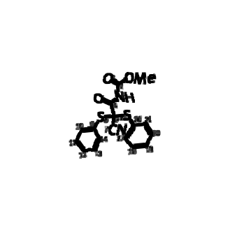 COC(=O)NC(=O)C(C#N)(Sc1ccccc1)Sc1ccccc1